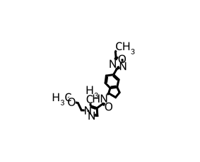 CCc1nc(-c2ccc3c(c2)CCC3NC(=O)c2cnn(CCOC)c2C)no1